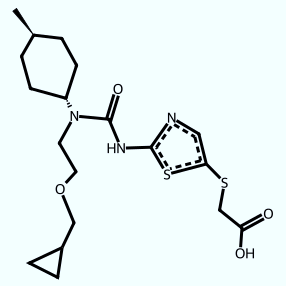 C[C@H]1CC[C@H](N(CCOCC2CC2)C(=O)Nc2ncc(SCC(=O)O)s2)CC1